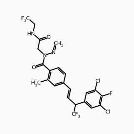 C=NN(CC(=O)NCC(F)(F)F)C(=O)c1ccc(/C=C/C(c2cc(Cl)c(F)c(Cl)c2)C(F)(F)F)cc1C